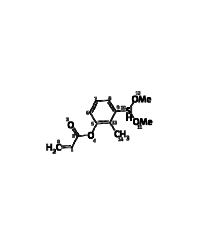 C=CC(=O)Oc1cccc([SiH](OC)OC)c1C